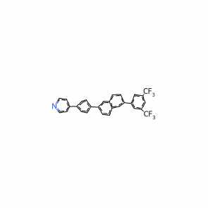 FC(F)(F)c1cc(-c2ccc3cc(-c4ccc(-c5ccncc5)cc4)ccc3c2)cc(C(F)(F)F)c1